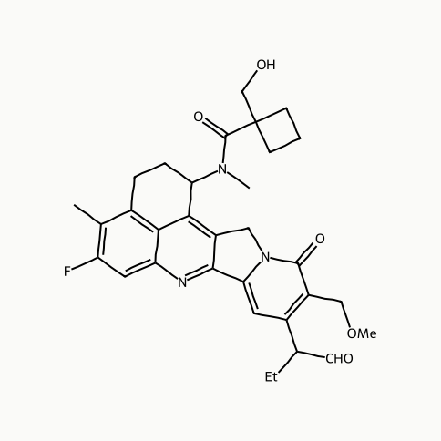 CCC(C=O)c1cc2n(c(=O)c1COC)Cc1c-2nc2cc(F)c(C)c3c2c1C(N(C)C(=O)C1(CO)CCC1)CC3